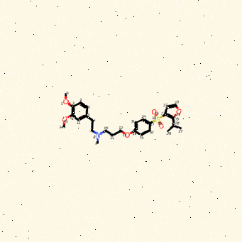 COc1ccc(CCN(C)CCCOc2ccc(S(=O)(=O)c3ccoc3C(C)C)cc2)cc1OC